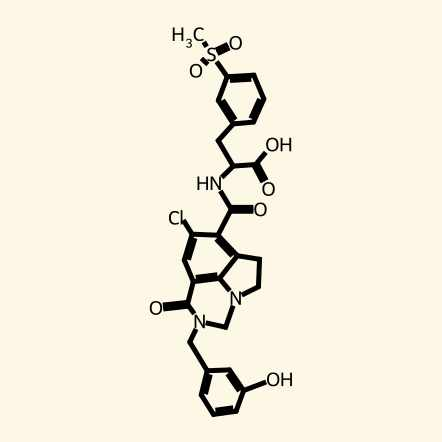 CS(=O)(=O)c1cccc(CC(NC(=O)c2c(Cl)cc3c4c2CCN4CN(Cc2cccc(O)c2)C3=O)C(=O)O)c1